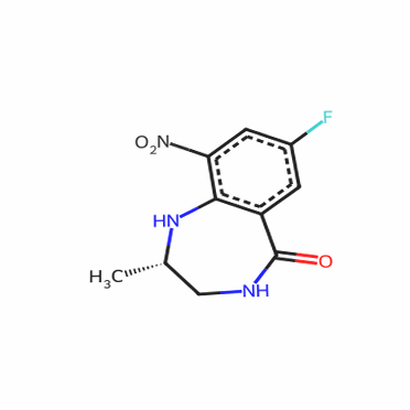 C[C@H]1CNC(=O)c2cc(F)cc([N+](=O)[O-])c2N1